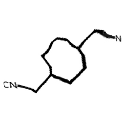 [C-]#[N+]CC1CCC(C[N+]#[C-])CC1